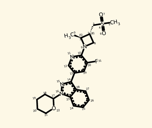 C[C@H]1[C@H](CS(C)(=O)=O)CN1c1ncc(-c2nn(C3CCCCO3)c3ccccc23)cc1F